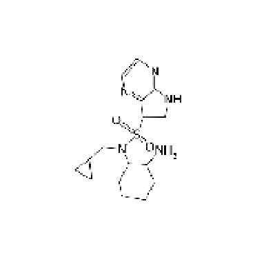 NC1CCCCC1N(CC1CC1)S(=O)(=O)c1c[nH]c2nccnc12